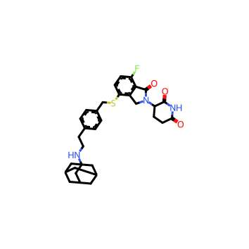 O=C1CCC(N2Cc3c(SCc4ccc(CCNC56CC7CC(CC(C7)C5)C6)cc4)ccc(F)c3C2=O)C(=O)N1